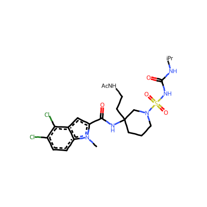 CC(=O)NCCC1(NC(=O)c2cc3c(Cl)c(Cl)ccc3n2C)CCCN(S(=O)(=O)NC(=O)NC(C)C)C1